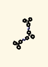 C(=C\c1ccc(N(c2ccccc2)c2ccc(/C=C/c3ccc(N(c4ccccc4)c4ccccc4)cc3)cc2)cc1)/c1ccc(N(c2ccccc2)c2ccccc2)cc1